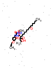 CC#CCOc1ccc(C[C@H](NC(=O)[C@@H](/C=C/CCCCCCC(=O)CCCCCCC)[C@@](O)(CCC)C(=O)O)C(=O)NOC)cc1